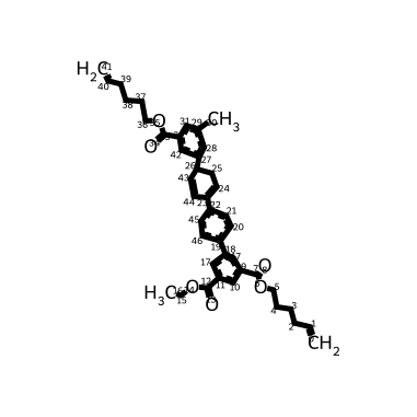 C=CCCCCOC(=O)c1cc(C(=O)OCC)cc(-c2ccc(C3=CCC(c4cc(C)cc(C(=O)OCCCCC=C)c4)C=C3)cc2)c1